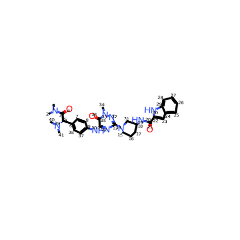 CN(C)C(=O)[C@H](c1ccc(Nc2nc(N3CCCC(NC(=O)c4cc5ccccc5[nH]4)C3)nn(C)c2=O)cc1)N(C)C